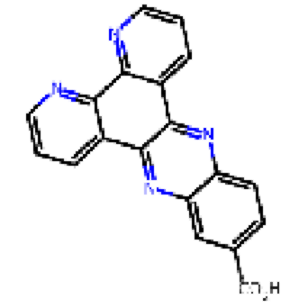 O=C(O)c1ccc2nc3c4cccnc4c4ncccc4c3nc2c1